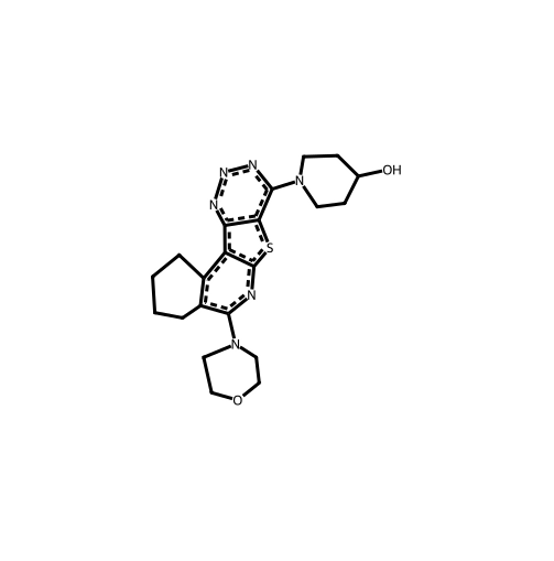 OC1CCN(c2nnnc3c2sc2nc(N4CCOCC4)c4c(c23)CCCC4)CC1